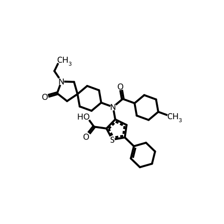 CCN1CC2(CCC(N(C(=O)C3CCC(C)CC3)c3cc(C4=CCCCC4)sc3C(=O)O)CC2)CC1=O